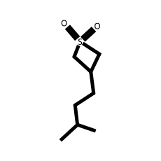 CC(C)CCC1CS(=O)(=O)C1